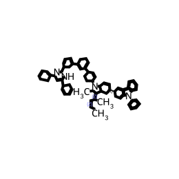 CC/C=C\C(C)=C1\C2C[C@H](C3C=c4c(n(-c5ccccc5)c5ccccc45)=CC3)C=CC2N(C2C=CC(C3=CCCC(C4=CC=CC(C5N=C(C6=CC=CCC6)C=C(C6C=CC=CC6)N5)C4)=C3)CC2)C1C